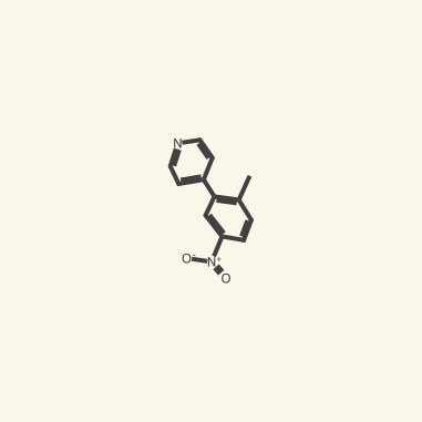 Cc1ccc([N+](=O)[O-])cc1-c1ccncc1